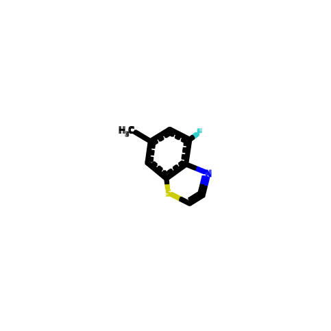 Cc1cc(F)c2c(c1)SC=C=N2